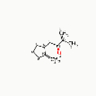 C=C(C)C(=O)CC1CCCC1=C